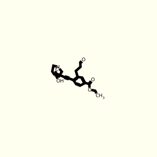 CCOC(=O)c1ccc(C#CC2(O)CN3CCC2CC3)c(CCC=O)c1